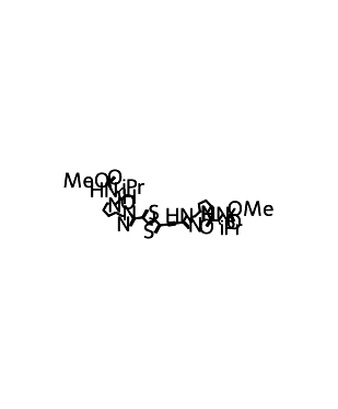 COC(=O)N[C@H](C(=O)N1CCCC1c1ncc(C#Cc2csc3c(-c4cnc(C5CCCN5C(=O)[C@@H](NC(=O)OC)C(C)C)[nH]4)csc23)[nH]1)C(C)C